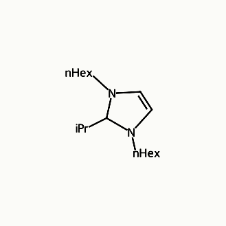 CCCCCCN1C=CN(CCCCCC)C1C(C)C